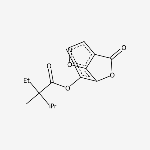 CCC(C)(C(=O)Oc1c2c3oc1cc3C(=O)O2)C(C)C